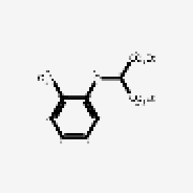 CCOC(=O)C(Oc1ccccc1[N+](=O)[O-])C(=O)OCC